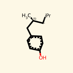 CC(C)[CH][C@H](C)Cc1ccc(O)cc1